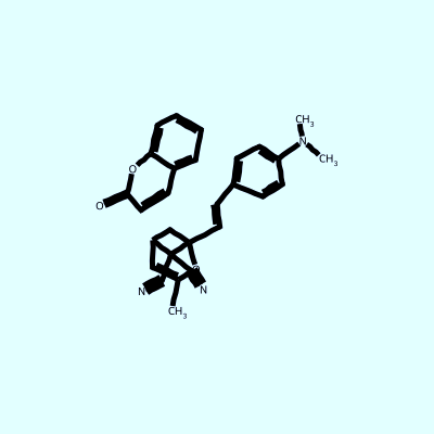 CC1=CC2CC(/C=C/c3ccc(N(C)C)cc3)(O1)C2(C#N)C#N.O=c1ccc2ccccc2o1